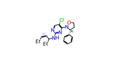 CC/C=C\C(CC)Nc1ncc(Cl)c(N2OCC[C@@H]2c2ccccc2)n1